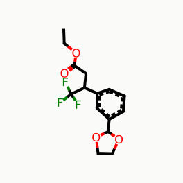 CCOC(=O)CC(c1cccc(C2OCCO2)c1)C(F)(F)F